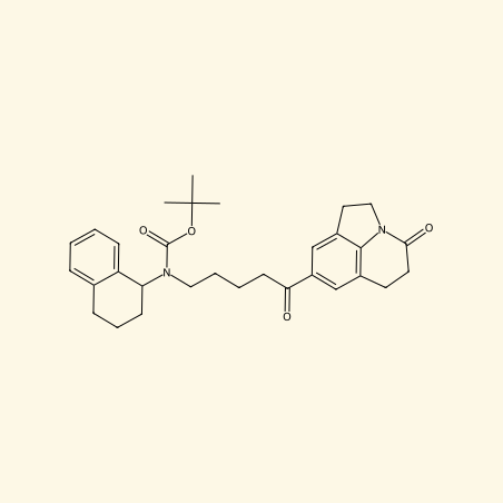 CC(C)(C)OC(=O)N(CCCCC(=O)c1cc2c3c(c1)CCN3C(=O)CC2)C1CCCc2ccccc21